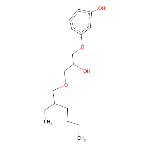 CCCCC(CC)COCC(O)COc1cccc(O)c1